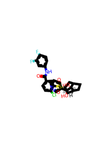 O=C(Nc1ccc(F)c(F)c1)c1ccc(Cl)c(S(=O)(=O)[C@@H]2CC3CC[C@@H](C2)[C@@]3(O)[C@@H](O)c2cccnc2)c1